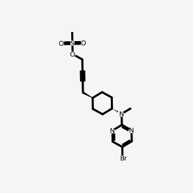 CN(c1ncc(Br)cn1)[C@H]1CC[C@H](CC#CCOS(C)(=O)=O)CC1